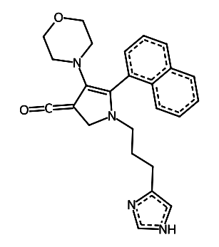 O=C=C1CN(CCCc2c[nH]cn2)C(c2cccc3ccccc23)=C1N1CCOCC1